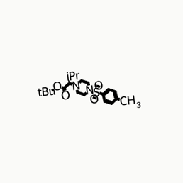 Cc1ccc(S(=O)(=O)N2CCN([C@H](C(=O)OC(C)(C)C)C(C)C)CC2)cc1